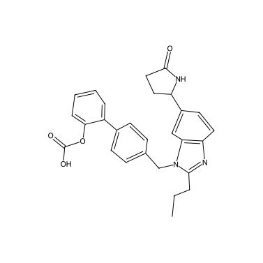 CCCc1nc2ccc(C3CCC(=O)N3)cc2n1Cc1ccc(-c2ccccc2OC(=O)O)cc1